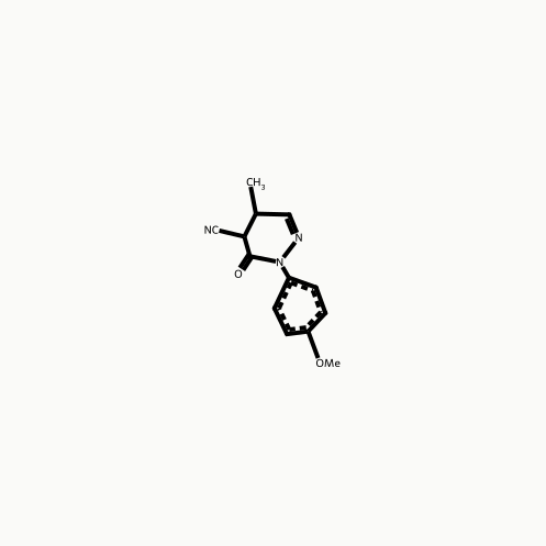 COc1ccc(N2N=CC(C)C(C#N)C2=O)cc1